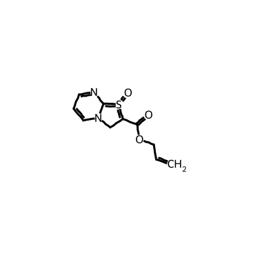 C=CCOC(=O)C1=S(=O)=C2N=CC=CN2C1